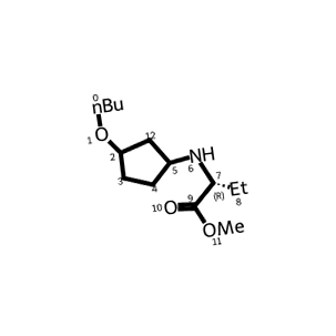 CCCCOC1CCC(N[C@H](CC)C(=O)OC)C1